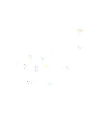 C=N/C(=C\C=C(/C)c1cc(-c2cc(CN3CC(OC)C3)ccn2)c2sc(NC(=O)NCC)nc2c1)C(O)C(F)(F)F